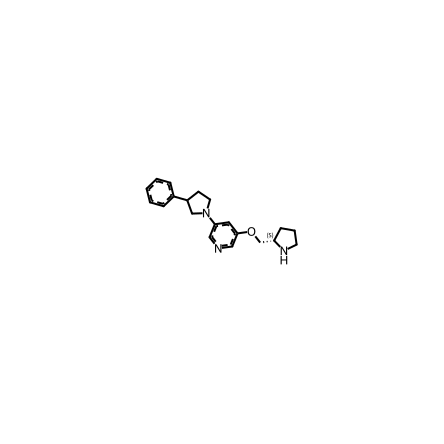 c1ccc(C2CCN(c3cncc(OC[C@@H]4CCCN4)c3)C2)cc1